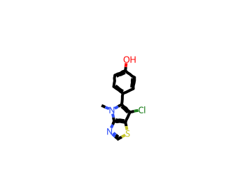 Cn1c(-c2ccc(O)cc2)c(Cl)c2scnc21